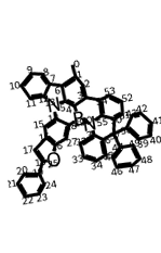 Cc1cc2c3c4c1c1ccccc1n4-c1cc4cc(-c5ccccc5)oc4cc1B3N1c3ccccc3C(c3ccccc3)(c3ccccc3)c3cccc-2c31